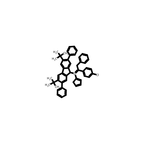 CC(C)(C)c1cc2c(cc1-c1ccccc1)[CH]([Zr]([C]1=CC=CC1)=[C](Cc1ccccc1)c1ccc(Cl)cc1)c1cc(-c3ccccc3)c(C(C)(C)C)cc1-2